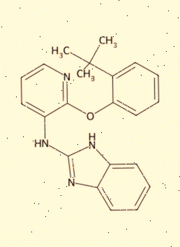 CC(C)(C)c1ccccc1Oc1ncccc1Nc1nc2ccccc2[nH]1